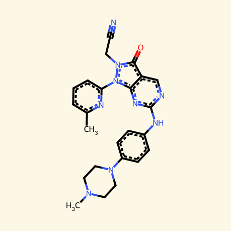 Cc1cccc(-n2c3nc(Nc4ccc(N5CCN(C)CC5)cc4)ncc3c(=O)n2CC#N)n1